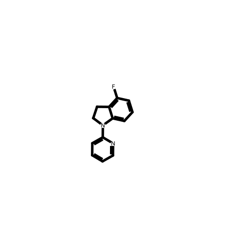 Fc1cccc2c1CCN2c1ccccn1